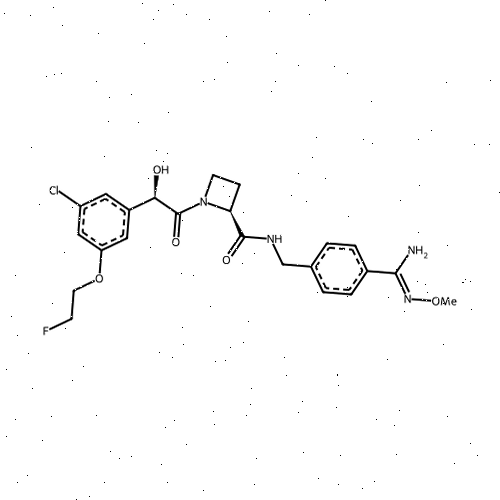 CO/N=C(\N)c1ccc(CNC(=O)[C@@H]2CCN2C(=O)[C@H](O)c2cc(Cl)cc(OCCF)c2)cc1